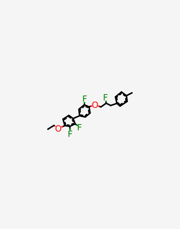 CCOc1ccc(-c2ccc(OCC(F)Cc3ccc(C)cc3)c(F)c2)c(F)c1F